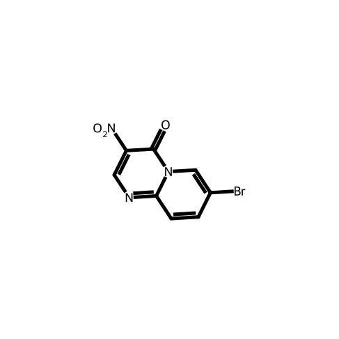 O=c1c([N+](=O)[O-])cnc2ccc(Br)cn12